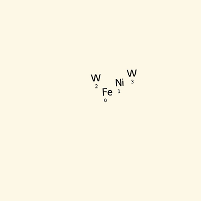 [Fe].[Ni].[W].[W]